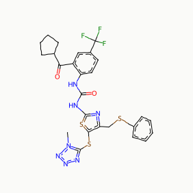 Cn1nnnc1Sc1sc(NC(=O)Nc2ccc(C(F)(F)F)cc2C(=O)C2CCCC2)nc1CSc1ccccc1